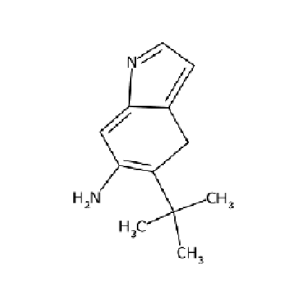 CC(C)(C)C1=C(N)C=C2N=CC=C2C1